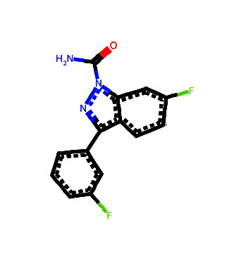 NC(=O)n1nc(-c2cccc(F)c2)c2c[c]c(F)cc21